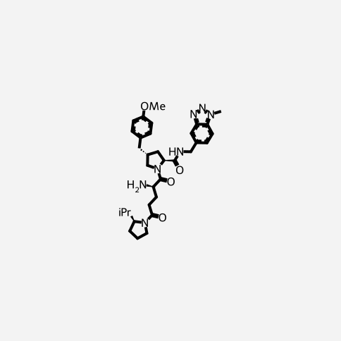 COc1ccc(C[C@@H]2C[C@@H](C(=O)NCc3ccc4c(c3)nnn4C)N(C(=O)[C@H](N)CCC(=O)N3CCC[C@H]3C(C)C)C2)cc1